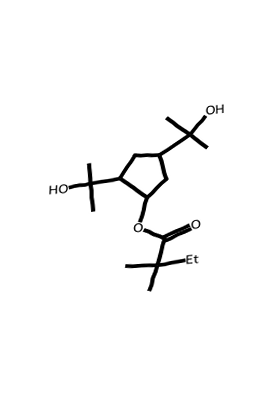 CCC(C)(C)C(=O)OC1CC(C(C)(C)O)CC1C(C)(C)O